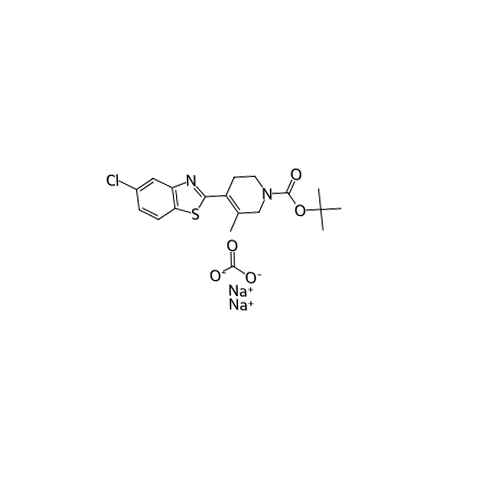 CC1=C(c2nc3cc(Cl)ccc3s2)CCN(C(=O)OC(C)(C)C)C1.O=C([O-])[O-].[Na+].[Na+]